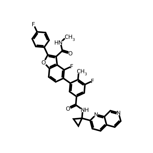 CNC(=O)c1c(-c2ccc(F)cc2)oc2ccc(-c3cc(C(=O)NC4(c5ccc6ccncc6n5)CC4)cc(F)c3C)c(F)c12